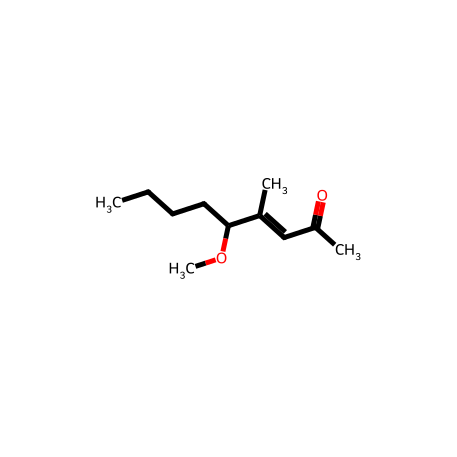 CCCCC(OC)/C(C)=C/C(C)=O